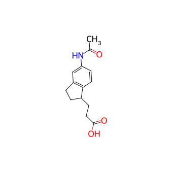 CC(=O)Nc1ccc2c(c1)CCC2CCC(=O)O